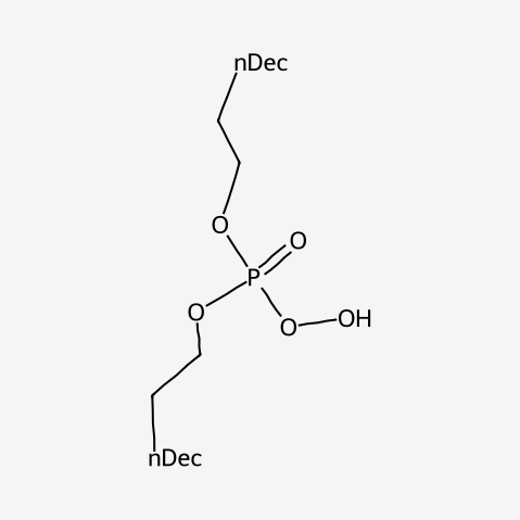 CCCCCCCCCCCCOP(=O)(OO)OCCCCCCCCCCCC